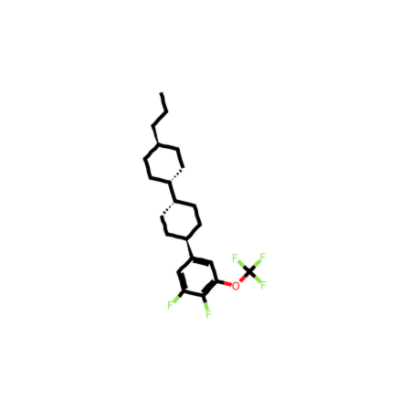 CCC[C@H]1CC[C@H]([C@H]2CC[C@H](c3cc(F)c(F)c(OC(F)(F)F)c3)CC2)CC1